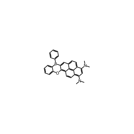 CN(C)c1cc(N(C)C)c2ccc3c4c(cc5ccc1c2c53)B(c1ccccc1)c1ccccc1O4